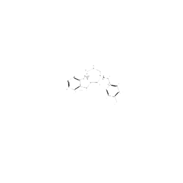 Cc1ccc(CN2CCCN3c4ccccc4CC3C2)cc1